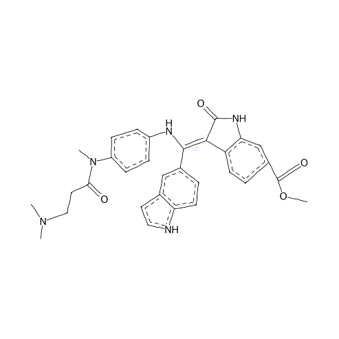 COC(=O)c1ccc2c(c1)NC(=O)/C2=C(\Nc1ccc(N(C)C(=O)CCN(C)C)cc1)c1ccc2[nH]ccc2c1